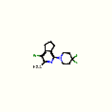 O=C(O)c1nc(N2CCC(F)(F)CC2)c2c(c1Br)CCC2